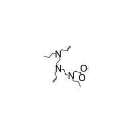 C=CCN(CCC)CCN(CC=C)CCN(CCC)CC(=O)OC